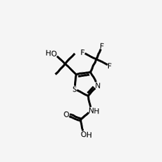 CC(C)(O)c1sc(NC(=O)O)nc1C(F)(F)F